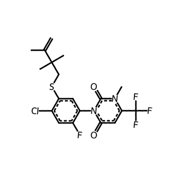 C=C(C)C(C)(C)CSc1cc(-n2c(=O)cc(C(F)(F)F)n(C)c2=O)c(F)cc1Cl